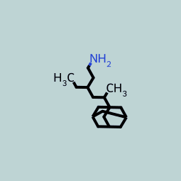 CCC(CCN)CC(C)C12CC3CC(CC(C3)C1)C2